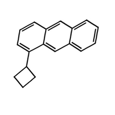 c1ccc2cc3c(C4CCC4)cccc3cc2c1